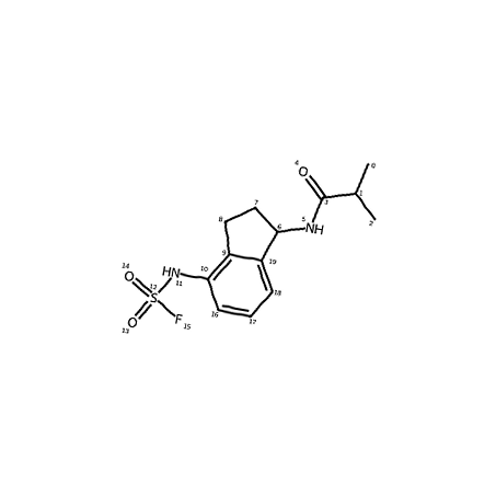 CC(C)C(=O)NC1CCc2c(NS(=O)(=O)F)cccc21